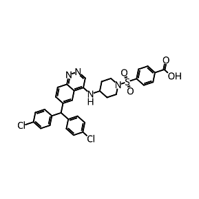 O=C(O)c1ccc(S(=O)(=O)N2CCC(Nc3cnnc4ccc(C(c5ccc(Cl)cc5)c5ccc(Cl)cc5)cc34)CC2)cc1